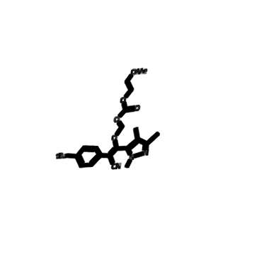 COCCOC(=O)OCO/C(=C(/C#N)c1ccc(C(C)(C)C)cc1)c1c(C)c(C)nn1C